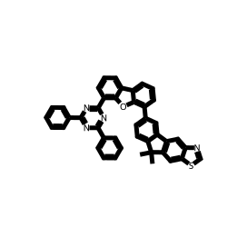 CC1(C)c2ccc(-c3cccc4c3oc3c(-c5nc(-c6ccccc6)nc(-c6ccccc6)n5)cccc34)cc2-c2cc3ncsc3cc21